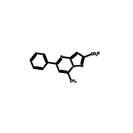 Cc1cc(-c2ccccc2)nc2cc(C(=O)O)nn12